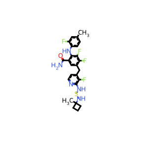 Cc1ccc(Nc2c(C(N)=O)cc(Cc3ccnc(NSNC4(C)CCC4)c3F)c(F)c2F)c(F)c1